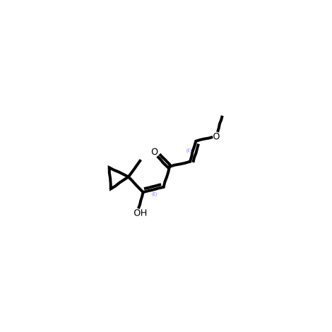 CO/C=C/C(=O)/C=C(/O)C1(C)CC1